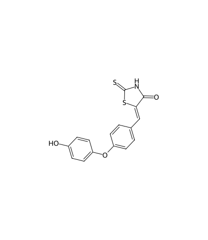 O=C1NC(=S)S/C1=C\c1ccc(Oc2ccc(O)cc2)cc1